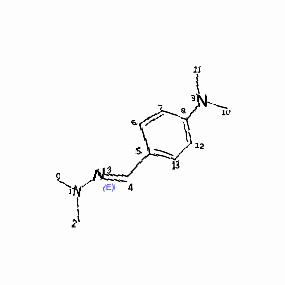 CN(C)/N=C/c1ccc(N(C)C)cc1